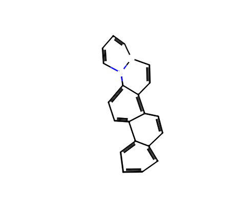 C1=CB2C=Cc3c(ccc4c3ccc3ccccc34)N2C=C1